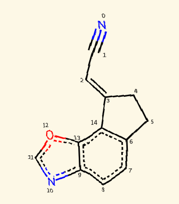 N#CC=C1CCc2ccc3ncoc3c21